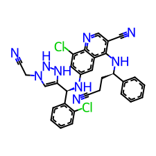 N#CCC[C@@H](Nc1c(C#N)cnc2c(Cl)cc(N[C@H](C3=CN(CC#N)NN3)c3ccccc3Cl)cc12)c1ccccc1